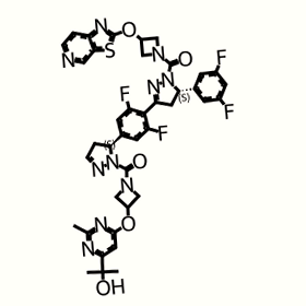 Cc1nc(OC2CN(C(=O)N3N=CC[C@H]3c3cc(F)c(C4=NN(C(=O)N5CC(Oc6nc7ccncc7s6)C5)[C@H](c5cc(F)cc(F)c5)C4)c(F)c3)C2)cc(C(C)(C)O)n1